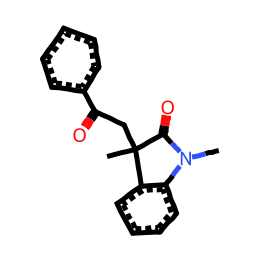 CN1C(=O)C(C)(CC(=O)c2ccccc2)c2ccccc21